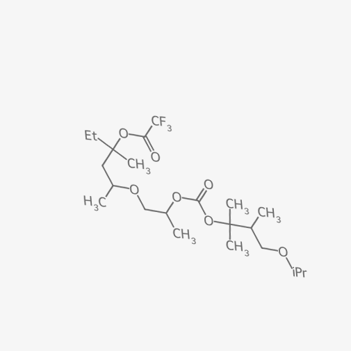 CCC(C)(CC(C)OCC(C)OC(=O)OC(C)(C)C(C)COC(C)C)OC(=O)C(F)(F)F